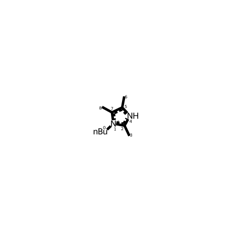 CCCC[n+]1c(C)[nH]c(C)c1C